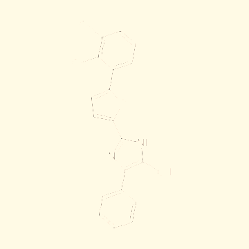 Cc1[nH]c(-c2ccc(-c3cccc(Cl)c3Cl)o2)nc1-c1ccccc1